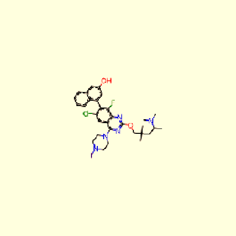 CC(CC(C)(C)COc1nc(N2CCN(I)CC2)c2cc(Cl)c(-c3cc(O)cc4ccccc34)c(F)c2n1)N(C)C